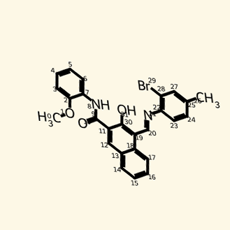 COc1ccccc1NC(=O)c1cc2ccccc2c(/C=N/c2ccc(C)cc2Br)c1O